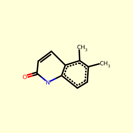 Cc1ccc2c(c1C)C=CC(=O)[N]2